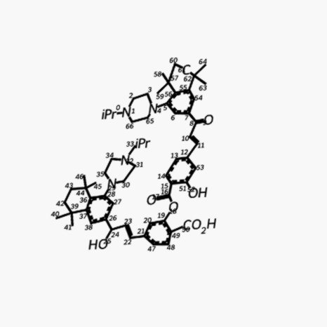 CC(C)N1CCN(c2cc(C(=O)C=Cc3ccc(C(=O)Oc4cc(C=CC(O)c5cc(N6CCN(C(C)C)CC6)c6c(c5)C(C)(C)CCC6(C)C)ccc4C(=O)O)c(O)c3)cc3c2C(C)(C)CCC3(C)C)CC1